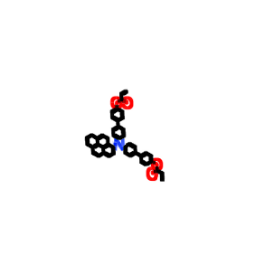 C=CC(=O)Oc1ccc(-c2ccc(N(c3ccc(-c4ccc(OC(=O)C=C)cc4)cc3)c3ccc4ccc5c6c4c3CC=C6CC=C5)cc2)cc1